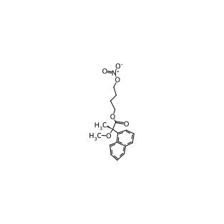 CO[C@](C)(C(=O)OCCCCO[N+](=O)[O-])c1cccc2ccccc12